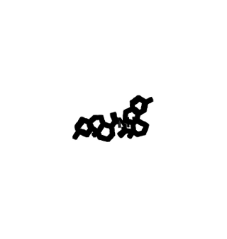 C=C(NC(=C)C1(C)CCCC2c3cc(C)ccc3CCC21)C1CCCC2(C)c3cc(C)ccc3CCC12